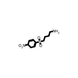 NCCCCS(=O)(=O)C1=CC[C]([N+](=O)[O-])C=C1